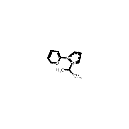 CC(C)[n+]1cccn1C1=CC=CCO1